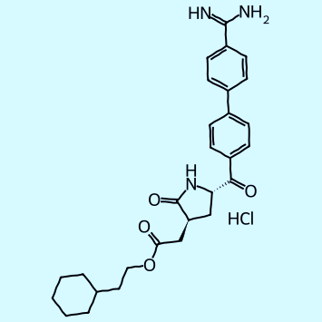 Cl.N=C(N)c1ccc(-c2ccc(C(=O)[C@@H]3C[C@@H](CC(=O)OCCC4CCCCC4)C(=O)N3)cc2)cc1